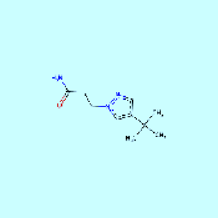 CC(C)(C)c1cnn(CCC(N)=O)c1